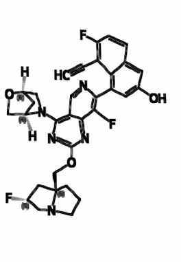 C#Cc1c(F)ccc2cc(O)cc(-c3ncc4c(N5C[C@H]6C[C@@H]5CO6)nc(OC[C@@]56CCCN5C[C@H](F)C6)nc4c3F)c12